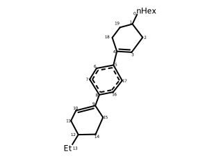 CCCCCCC1CC=C(c2ccc(C3=CCC(CC)CC3)cc2)CC1